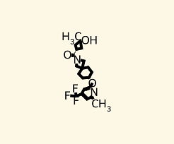 Cc1cc(C(F)(F)F)cc(OC2CCC3(CC2)CN(C(=O)[C@H]2C[C@@](C)(O)C2)C3)n1